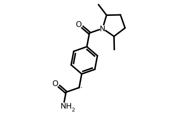 CC1CCC(C)N1C(=O)c1ccc([CH]C(N)=O)cc1